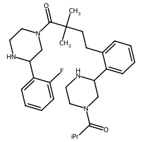 CC(C)C(=O)N1CCNC(c2ccccc2CCC(C)(C)C(=O)N2CCNC(c3ccccc3F)C2)C1